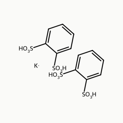 O=S(=O)(O)c1ccccc1S(=O)(=O)O.O=S(=O)(O)c1ccccc1S(=O)(=O)O.[K]